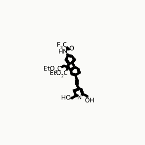 CCOC(=O)CC1(C(=O)OCC)c2cc(C#Cc3cc(CO)nc(CO)c3)ccc2-c2ccc(NC(=O)C(F)(F)F)cc21